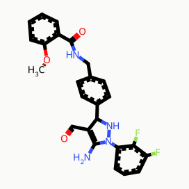 COc1ccccc1C(=O)NCc1ccc(C2NN(c3cccc(F)c3F)C(N)=C2C=O)cc1